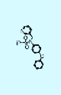 CC(C)S(=O)(=O)N(Cc1cccnc1)c1ccc(Oc2ccccc2)cc1